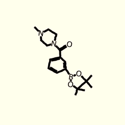 CN1CCN(C(=O)c2cccc(B3OC(C)(C)C(C)(C)O3)c2)CC1